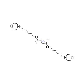 O=C(/C=C/C(=O)OCCCCCCN1CCOCC1)OCCCCCCN1CCOCC1